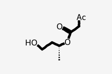 CC(=O)CC(=O)O[C@H](C)CCO